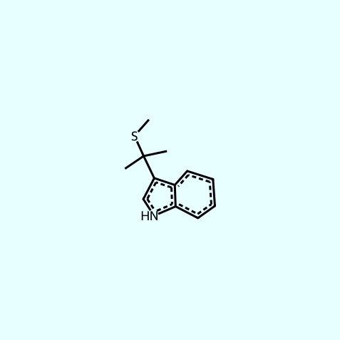 CSC(C)(C)c1c[nH]c2ccccc12